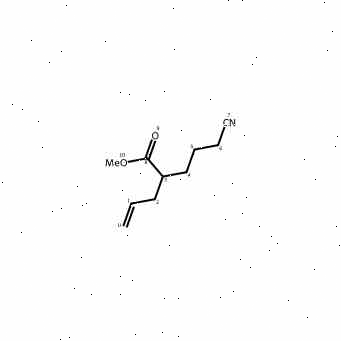 C=CCC(CCCC#N)C(=O)OC